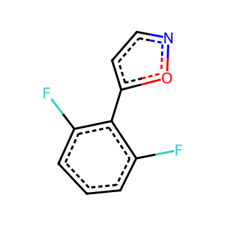 Fc1cccc(F)c1-c1ccno1